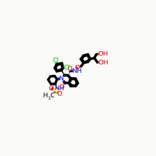 CS(=O)(=O)N[C@H]1CCCCC1N1C(=O)c2ccccc2[C@@H](C(=O)NOCc2cccc(C(CO)CO)c2)[C@@H]1c1ccc(Cl)cc1Cl